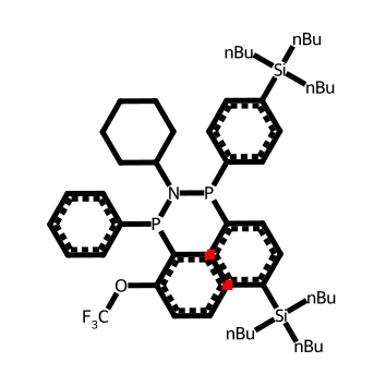 CCCC[Si](CCCC)(CCCC)c1ccc(P(c2ccc([Si](CCCC)(CCCC)CCCC)cc2)N(C2CCCCC2)P(c2ccccc2)c2ccccc2OC(F)(F)F)cc1